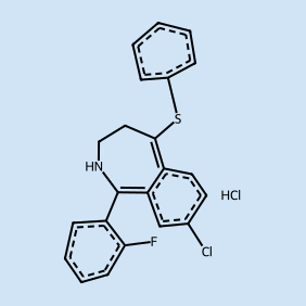 Cl.Fc1ccccc1C1=c2cc(Cl)ccc2=C(Sc2ccccc2)CCN1